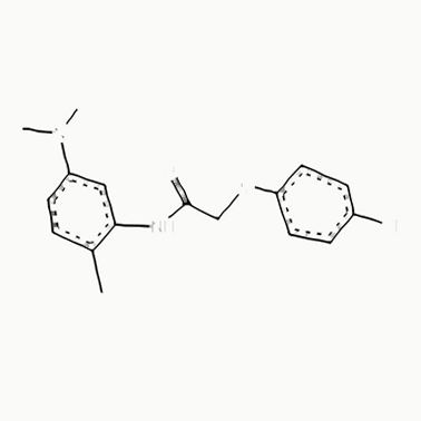 Cc1ccc(N(C)C)cc1NC(=O)COc1ccc(Cl)cc1